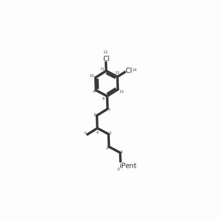 CCCC(C)CCCC(C)CCc1ccc(Cl)c(Cl)c1